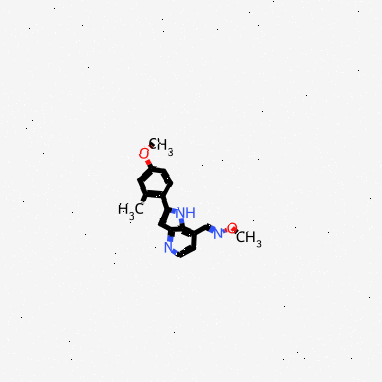 CON=Cc1ccnc2cc(-c3ccc(OC)cc3C)[nH]c12